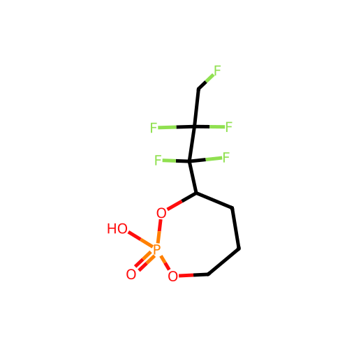 O=P1(O)OCCCC(C(F)(F)C(F)(F)CF)O1